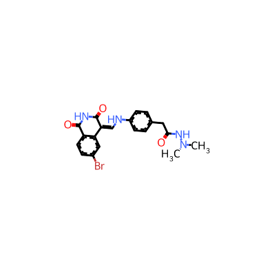 CN(C)NC(=O)Cc1ccc(NC=C2C(=O)NC(=O)c3ccc(Br)cc32)cc1